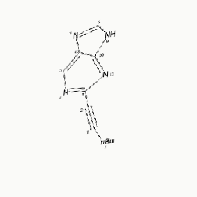 CCCCC#Cc1ncc2nc[nH]c2n1